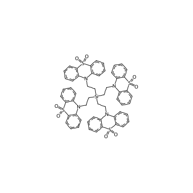 O=S1(=O)c2ccccc2N(CC[Si](CCN2c3ccccc3S(=O)(=O)c3ccccc32)(CCN2c3ccccc3S(=O)(=O)c3ccccc32)CCN2c3ccccc3S(=O)(=O)c3ccccc32)c2ccccc21